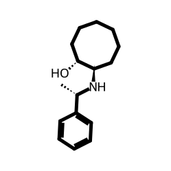 C[C@H](N[C@@H]1CCCCCC[C@H]1O)c1ccccc1